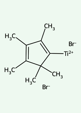 CC1=C(C)C(C)(C)[C]([Ti+2])=C1C.[Br-].[Br-]